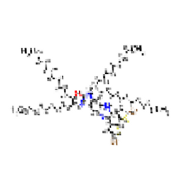 CCCCCCCCCCCCC(CCCCCCCCCC)Cn1c(=O)n(CC(CCCCCCCCCC)CCCCCCCCCCCC)c2cc3nc4c(nc3cc21)c1c(c2sc(Br)cc24)SC(Br)C1